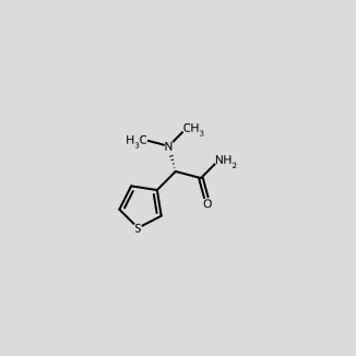 CN(C)[C@H](C(N)=O)c1ccsc1